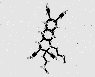 COCCN1c2nc3nc(C#N)c(C#N)nc3nc2N=C(C#N)C1(C#N)CCOC